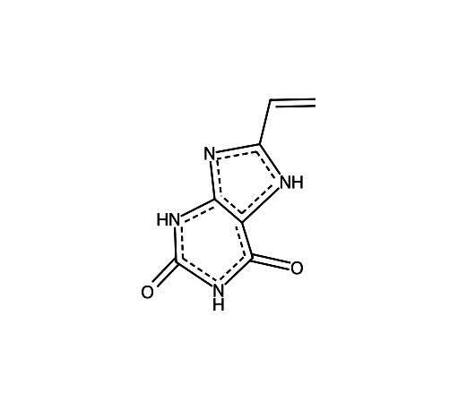 C=Cc1nc2[nH]c(=O)[nH]c(=O)c2[nH]1